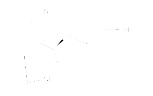 COCO[C@H]1CNCC[C@@H]1CN